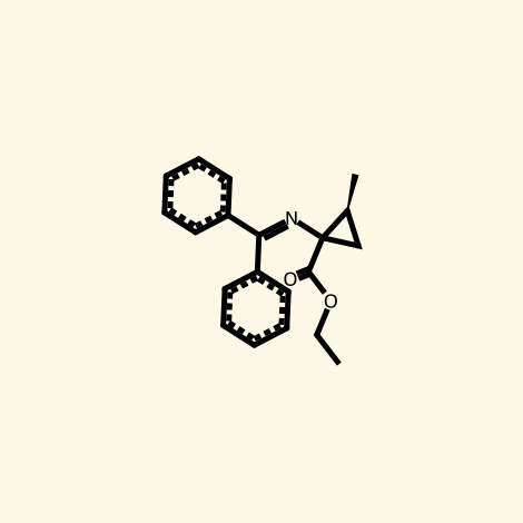 CCOC(=O)C1(N=C(c2ccccc2)c2ccccc2)C[C@@H]1C